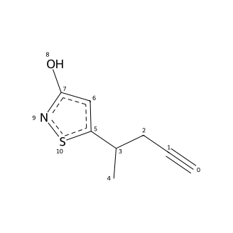 C#CCC(C)c1cc(O)ns1